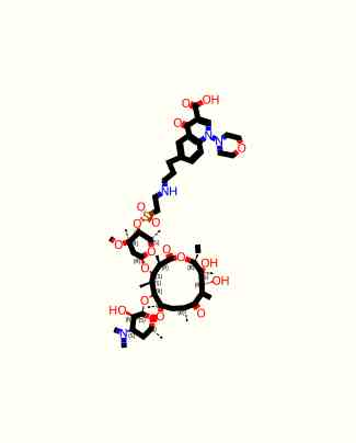 CC[C@H]1OC(=O)[C@H](C)[C@@H](O[C@H]2C[C@@](C)(OC)[C@@H](OS(=O)(=O)CCNCCCc3ccc4c(c3)c(=O)c(C(=O)O)cn4N3CCOCC3)[C@H](C)O2)[C@H](C)[C@@H](O[C@@H]2O[C@H](C)C[C@H](N(C)C)[C@H]2O)[C@](C)(OC)C[C@@H](C)C(=O)C(C)[C@@H](O)[C@]1(C)O